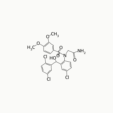 COc1ccc(S(=O)(=O)N(CC(N)=O)c2ccc(Cl)cc2C(O)c2cc(Cl)ccc2Cl)cc1OC